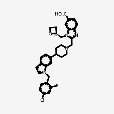 O=C(O)c1ccc2nc(CN3CCC(c4ccc5ccn(Cc6ccc(Cl)cc6F)c5c4)CC3)n(C[C@@H]3CCO3)c2c1